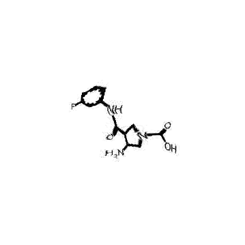 NC1CN(C(=O)O)CC1C(=O)Nc1cccc(F)c1